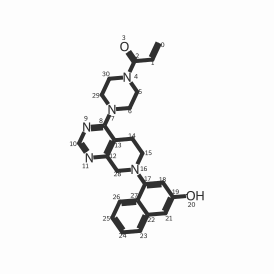 C=CC(=O)N1CCN(c2ncnc3c2CCN(c2cc(O)cc4ccccc24)C3)CC1